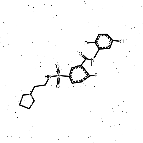 O=C(Nc1cc(Cl)ccc1F)c1cc(S(=O)(=O)NCCC2CCCC2)ccc1F